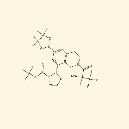 CC(C)(C)OC(=O)N1CCCC1c1cc(B2OC(C)(C)C(C)(C)O2)cc2c1CN(C(=O)C(C)(O)C(F)(F)F)CC2